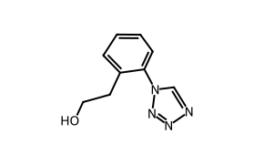 OCCc1ccccc1-n1cnnn1